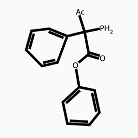 CC(=O)C(P)(C(=O)Oc1ccccc1)c1ccccc1